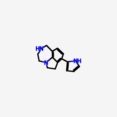 c1c[nH]c(-c2ccc3c4c2CCN4CCNC3)c1